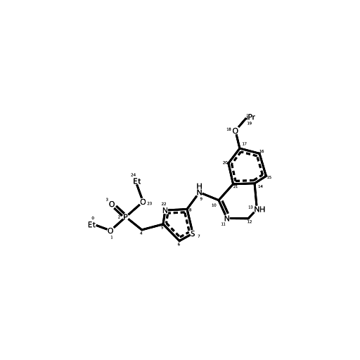 CCOP(=O)(Cc1csc(NC2=NCNc3ccc(OC(C)C)cc32)n1)OCC